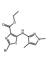 CCOC(=O)c1nc(Br)sc1Nc1nn(C)cc1C